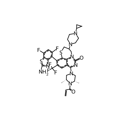 C=CC(=O)N1[C@H](C)CN(c2nc(=O)n3c4c(c(-c5c(F)cc(F)c6sc(N)nc56)c(C(F)(F)F)cc24)SCC(N2CCN(C4CC4)CC2)C3)C[C@@H]1C